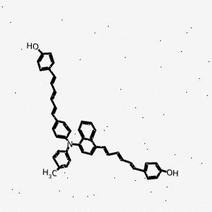 Cc1ccc(N(c2ccc(C=CC=CC=Cc3ccc(O)cc3)cc2)c2ccc(C=CC=CC=Cc3ccc(O)cc3)c3ccccc23)cc1